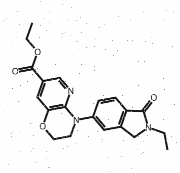 CCOC(=O)c1cnc2c(c1)OCCN2c1ccc2c(c1)CN(CC)C2=O